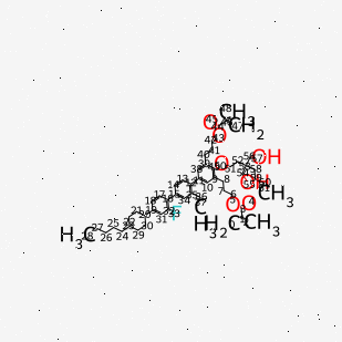 C=C(C)C(=O)OCCCc1cc(-c2ccc(-c3ccc(C4CCC(CCCCC)CC4)cc3F)cc2CC)cc(CCCOC(=O)C(=C)C)c1OCCC(CO)(CO)CCCC